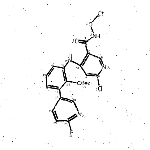 CCONC(=O)c1cnc(Cl)cc1Nc1cccc(-c2ccc(F)nc2)c1OC